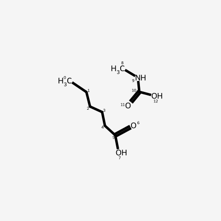 CCCCCC(=O)O.CNC(=O)O